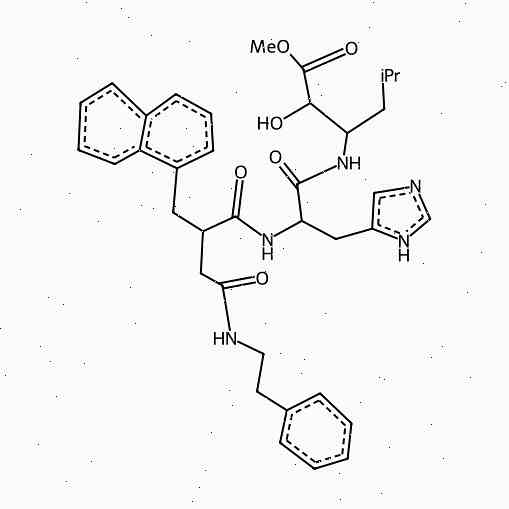 COC(=O)C(O)C(CC(C)C)NC(=O)C(Cc1cnc[nH]1)NC(=O)C(CC(=O)NCCc1ccccc1)Cc1cccc2ccccc12